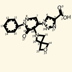 O=C(O)c1cn(-c2cnn(-c3ccccc3)c(=O)c2N2CC3(COC3)C2)nn1